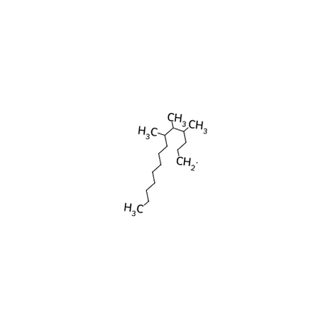 [CH2]CCC(C)C(C)C(C)CCCCCCCC